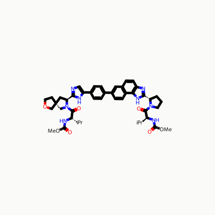 COC(=O)N[C@H](C(=O)N1C[C@]2(CCOC2)C[C@H]1c1ncc(-c2ccc(-c3ccc4c(ccc5nc([C@@H]6CCCN6C(=O)[C@@H](NC(=O)OC)C(C)C)[nH]c54)c3)cc2)[nH]1)C(C)C